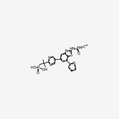 CCNC(=O)Nc1nc2cc(-c3cnc(C(C)(C)CP(=O)(O)O)nc3)cc(-c3ccccn3)c2s1